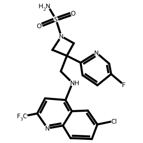 NS(=O)(=O)N1CC(CNc2cc(C(F)(F)F)nc3ccc(Cl)cc23)(c2ccc(F)cn2)C1